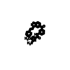 Cc1cc(C(=O)Nc2cccc(C(=O)c3ccc4cnn(C=Cc5ccccn5)c4c3)c2)nn1C